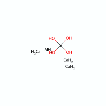 O[Si](O)(O)O.[AlH3].[CaH2].[CaH2].[CaH2]